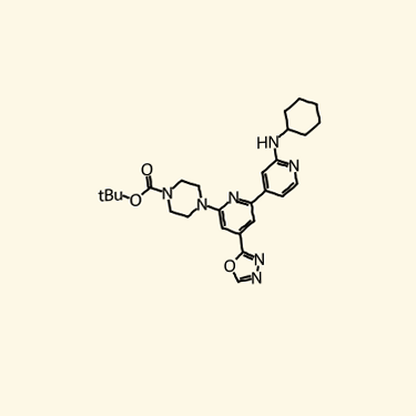 CC(C)(C)OC(=O)N1CCN(c2cc(-c3nnco3)cc(-c3ccnc(NC4CCCCC4)c3)n2)CC1